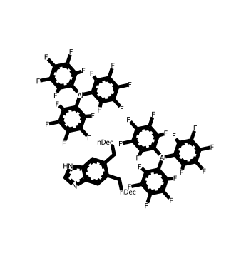 CCCCCCCCCCCc1cc2nc[nH]c2cc1CCCCCCCCCCC.Fc1c(F)c(F)[c]([Al]([c]2c(F)c(F)c(F)c(F)c2F)[c]2c(F)c(F)c(F)c(F)c2F)c(F)c1F.Fc1c(F)c(F)[c]([Al]([c]2c(F)c(F)c(F)c(F)c2F)[c]2c(F)c(F)c(F)c(F)c2F)c(F)c1F